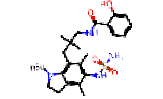 CCCCN1CCc2c(C)c(NS(N)(=O)=O)c(C)c(CC(C)(C)CNC(=O)c3ccccc3O)c21